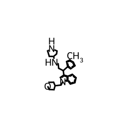 Cc1cccc(C(CCNC2CCNCC2)c2cn(CC3CCOCC3)c3ccccc23)c1